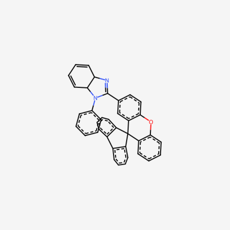 C1=CC2N=C(c3ccc4c(c3)C3(c5ccccc5O4)c4ccccc4-c4ccccc43)N(c3ccccc3)C2C=C1